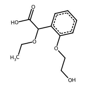 CCOC(C(=O)O)c1ccccc1OCCO